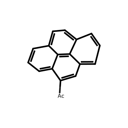 CC(=O)c1cc2cccc3ccc4cccc1c4c32